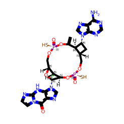 C=C1O[P@@](=O)(S)OC[C@H]2O[C@@H](n3cnc4c(=O)n5ccnc5[nH]c43)[C@H](O[P@@](=O)(S)OC[C@H]3C[C@@H](n4cnc5c(N)ncnc54)[C@H]13)[C@@H]2F